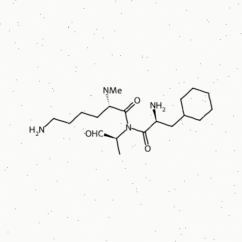 CN[C@@H](CCCCN)C(=O)N(C(=O)[C@@H](N)CC1CCCCC1)[C@@H](C)[C]=O